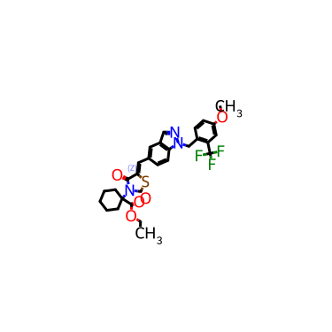 CCOC(=O)C1(N2C(=O)S/C(=C\c3ccc4c(cnn4Cc4ccc(OC)cc4C(F)(F)F)c3)C2=O)CCCCC1